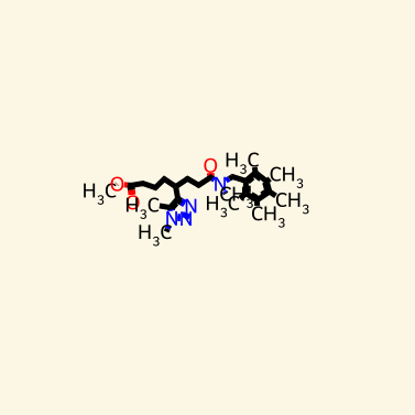 COC(=O)CCCC(CCC(=O)N(C)Cc1c(C)c(C)c(C)c(C)c1C)c1nnn(C)c1C